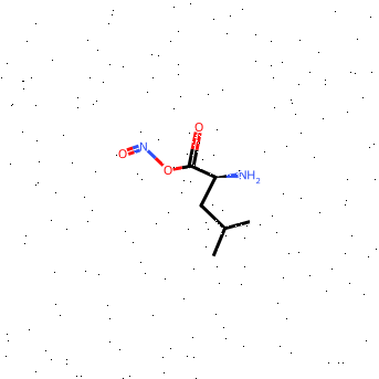 CC(C)C[C@H](N)C(=O)ON=O